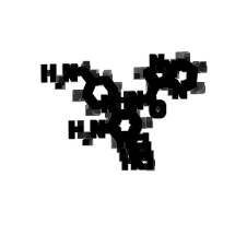 Cl.Cl.Cl.NCC1CCN(c2c(N)cccc2NC(=O)c2cnn3cccnc23)CC1